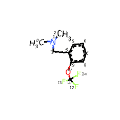 CN(C)Cc1ccccc1OC(F)(F)F